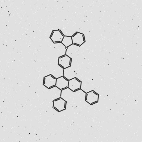 c1ccc(-c2ccc3c(-c4ccc(-n5c6ccccc6c6ccccc65)cc4)c4ccccc4c(-c4ccccc4)c3c2)cc1